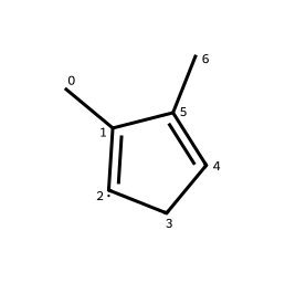 CC1=[C]CC=C1C